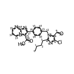 CCCCc1nc(Cl)c(C=O)n1Cc1ccc(-c2nc3ncccn3c2C(=O)O)cc1